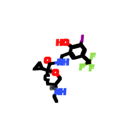 CCN[C@@H]1CC[C@@](C(=O)NCc2cc(C(F)(F)F)cc(I)c2O)(C2CC2)OC1